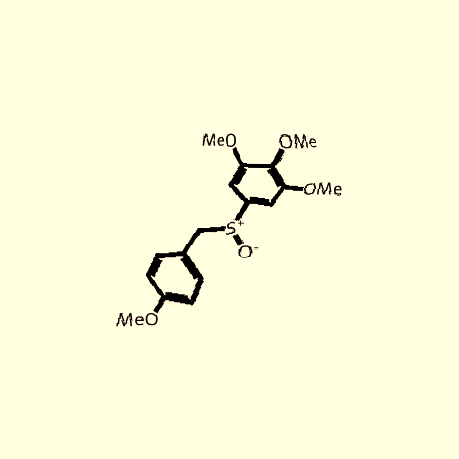 COc1ccc(C[S+]([O-])c2cc(OC)c(OC)c(OC)c2)cc1